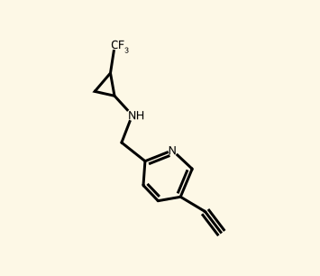 C#Cc1ccc(CNC2CC2C(F)(F)F)nc1